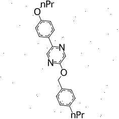 CCCOc1ccc(-c2cnc(OCc3ccc(CCC)cc3)cn2)cc1